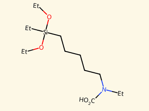 CCO[Si](CC)(CCCCCN(CC)C(=O)O)OCC